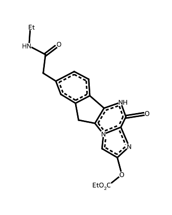 CCNC(=O)Cc1ccc2c(c1)Cc1c-2[nH]c(=O)c2nc(OC(=O)OCC)cn12